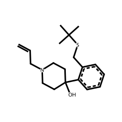 C=CCN1CCC(O)(c2ccccc2CSC(C)(C)C)CC1